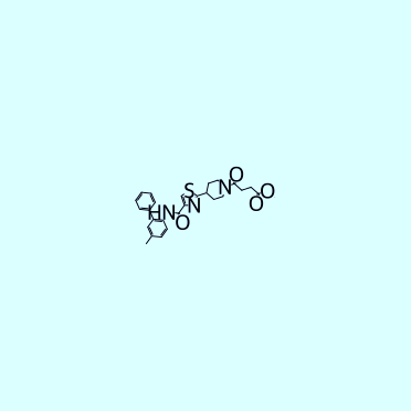 COC(=O)CCC(=O)N1CCC(c2nc(C(=O)Nc3ccc(C)cc3-c3ccccc3)cs2)CC1